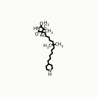 CC(=O)C1(CCCCCC(C)(C)CCCCCCC2CCNCC2)C(=O)NC(=O)C1(C)C